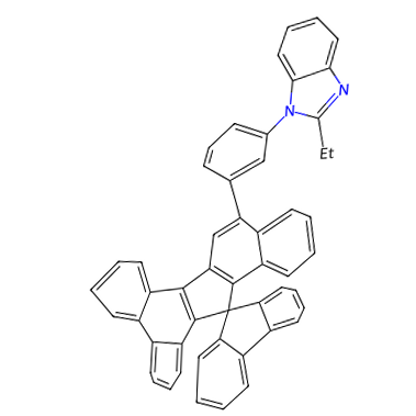 CCc1nc2ccccc2n1-c1cccc(-c2cc3c(c4ccccc24)C2(c4ccccc4-c4ccccc42)c2c-3c3ccccc3c3ccccc23)c1